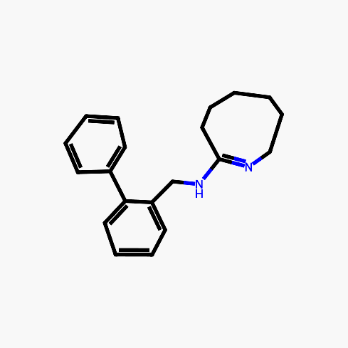 c1ccc(-c2ccccc2CN/C2=N/CCCCCC2)cc1